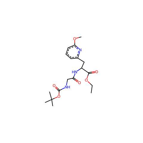 CCOC(=O)C(Cc1cccc(OC)n1)NC(=O)CNC(=O)OC(C)(C)C